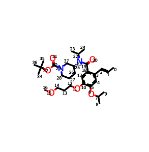 C/C=C/c1cc(OC(C)C)c(OCCCOC)cc1C(=O)N(C(C)C)[C@@H]1CCCN(C(=O)OC(C)(C)C)C1